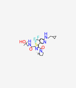 C[C@H]1CCCN1C(=O)c1nc(C(=O)NCC(C)(C)O)sc1-c1cnc(NCCC2CC2)cc1C(F)(F)F